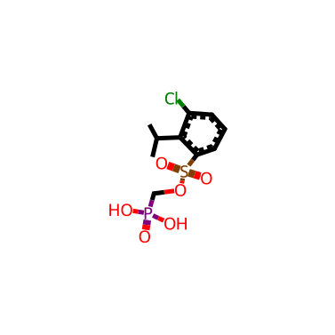 CC(C)c1c(Cl)cccc1S(=O)(=O)OCP(=O)(O)O